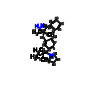 CC(C)(C)C(c1cccc(CC(C)(C)C(N)c2ccccc2)c1)N1CCCC1